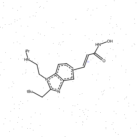 CC(C)NCCn1c(CC(C)(C)C)nc2cc(/C=C/C(=O)NO)ccc21